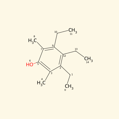 CCc1c(C)c(O)c(C)c(CC)c1CC